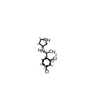 C[C@H](NC1CCNC1)c1ccc(Cl)cc1Cl